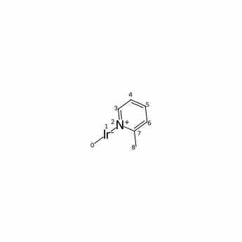 [CH3][Ir-][n+]1ccccc1C